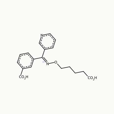 O=C(O)CCCCO/N=C(\c1cccnc1)c1cccc(C(=O)O)c1